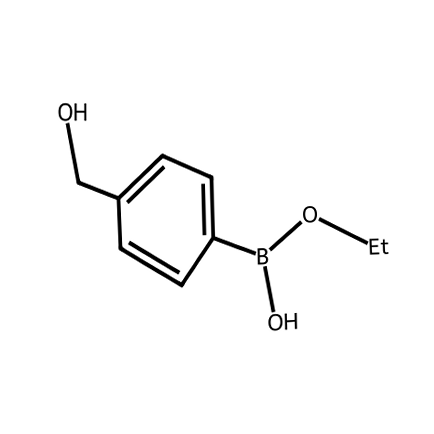 CCOB(O)c1ccc(CO)cc1